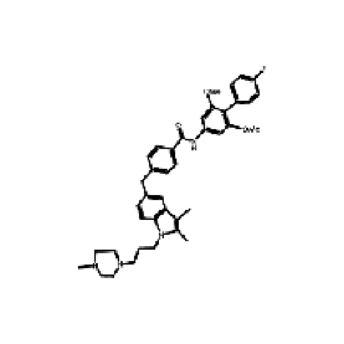 COc1cc(NC(=O)c2ccc(Cc3ccc4c(c3)c(C)c(C)n4CCCN3CCN(C)CC3)cc2)cc(OC)c1-c1ccc(F)cc1